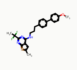 Cc1cc2c(NCCCc3ccc(-c4ccc(OC(F)(F)F)cc4)cc3)nc(C(C)(F)F)nc2s1